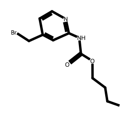 CCCCOC(=O)Nc1cc(CBr)ccn1